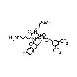 CSCCCN1C[C@@H]2N(C(=O)OCc3cc(C(F)(F)F)cc(C(F)(F)F)c3)C[C@@H](Cc3ccc(F)cc3)C(=O)N2[C@@H](CCCCN)C1=O